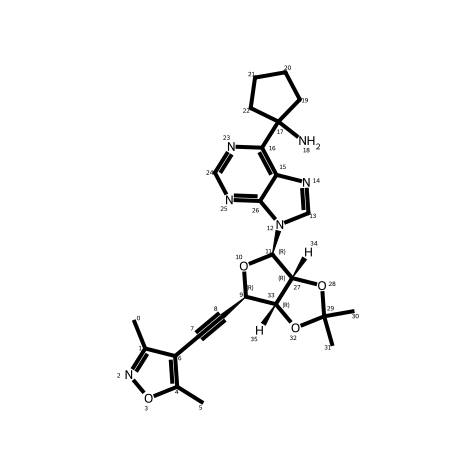 Cc1noc(C)c1C#C[C@H]1O[C@@H](n2cnc3c(C4(N)CCCC4)ncnc32)[C@@H]2OC(C)(C)O[C@@H]21